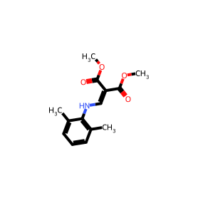 COC(=O)C(=CNc1c(C)cccc1C)C(=O)OC